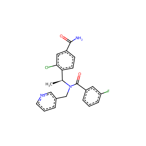 C[C@@H](c1ccc(C(N)=O)cc1Cl)N(Cc1cccnc1)C(=O)c1cccc(F)c1